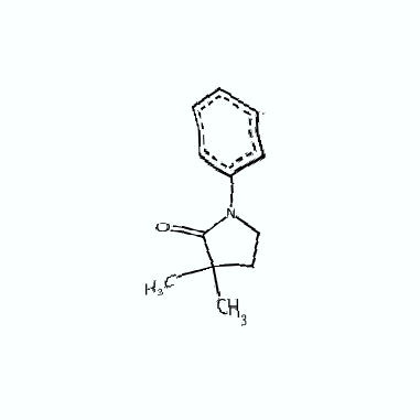 CC1(C)CCN(c2c[c]ccc2)C1=O